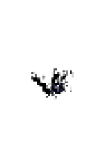 CCCCCCC(C)(C)C1=C(C)\C=C/C=C2\C(=C\1)CC1(COC1)N2C(C)C